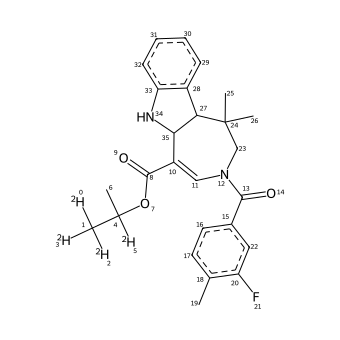 [2H]C([2H])([2H])C([2H])(C)OC(=O)C1=CN(C(=O)c2ccc(C)c(F)c2)CC(C)(C)C2c3ccccc3NC12